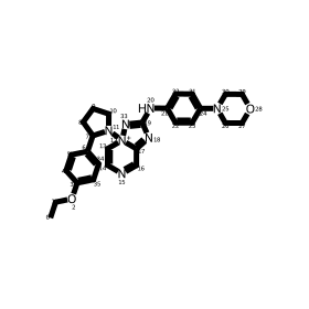 CCOc1ccc(C2CCCN2[N+]23C=CN=CC2=NC(Nc2ccc(N4CCOCC4)cc2)=N3)cc1